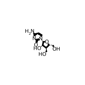 Nc1ccn([C@@H]2O[C@H](CO)[C@@H](CO)[C@@H]2O)c(=O)n1